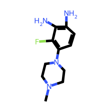 CN1CCN(c2ccc(N)c(N)c2F)CC1